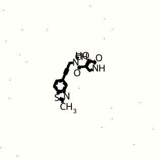 Cc1nc2cc(C#CCN(C)C(=O)C3=C(O)C(=O)NC3)ccc2s1